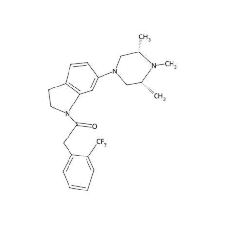 C[C@@H]1CN(c2ccc3c(c2)N(C(=O)Cc2ccccc2C(F)(F)F)CC3)C[C@H](C)N1C